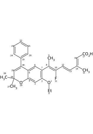 CCOc1cc2c(cc1C(C)=C(F)C=CC(C)=CC(=O)O)C(c1ccccc1)=CC(C)(C)O2